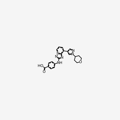 O=C(O)c1ccc(Nc2nc3c(-c4cnn(C5CCOCC5)c4)cccn3n2)cc1